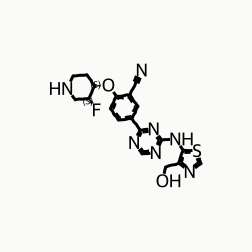 N#Cc1cc(-c2ncnc(Nc3scnc3CO)n2)ccc1O[C@H]1CCNC[C@@H]1F